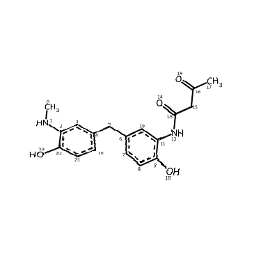 CNc1cc(Cc2ccc(O)c(NC(=O)CC(C)=O)c2)ccc1O